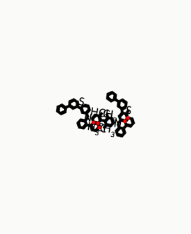 Cc1cc(N(c2ccc3sc4ccc(-c5ccccc5)cc4c3c2)c2ccccc2-c2ccccc2)cc(C)c1-c1c(C)cc(N(c2ccc3sc4ccc(-c5ccccc5)cc4c3c2)c2ccccc2-c2ccccc2)cc1C